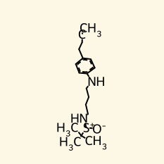 CCCCc1ccc(NCCCCN[S+]([O-])C(C)(C)C)cc1